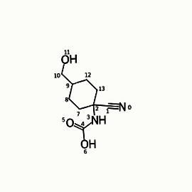 N#CC1(NC(=O)O)CCC(CO)CC1